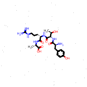 C[C@H](NC(=O)[C@H](CCCNC(=N)N)NC(=O)[C@@H](NC(=O)[C@@H](N)Cc1ccc(O)cc1)[C@@H](C)O)C(=O)O